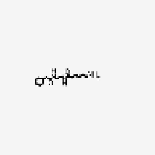 NCCCCCC(=O)NCCNC(=O)CC1CCCCC1